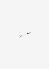 [O-2].[O-2].[Pd+2].[Ti+4]